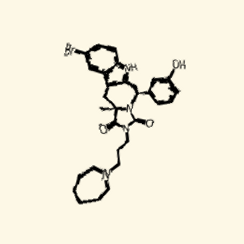 C[C@@]12Cc3c([nH]c4ccc(Br)cc34)[C@@H](c3cccc(O)c3)N1C(=O)N(CCCN1CCCCCC1)C2=O